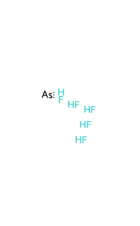 F.F.F.F.F.[As]